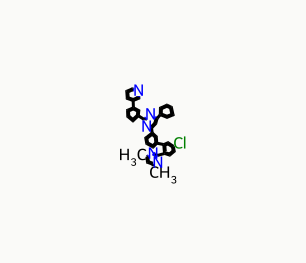 Cc1cc(C)nc(-c2ccc(Cl)cc2-c2cccc(-c3cc(-c4ccccc4)nc(-c4cccc(-c5cccnc5)c4)n3)c2)n1